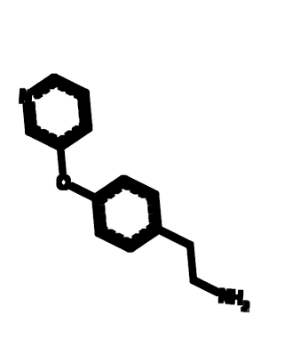 NCCc1ccc(Oc2cccnc2)cc1